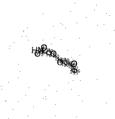 O=C1C=C(c2ccc(OCCCCOc3ccc(C=CC(=O)c4ccccc4)cc3)cc2)C(=O)N1